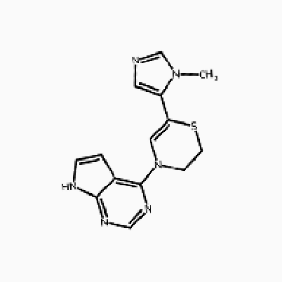 Cn1cncc1C1=CN(c2ncnc3[nH]ccc23)CCS1